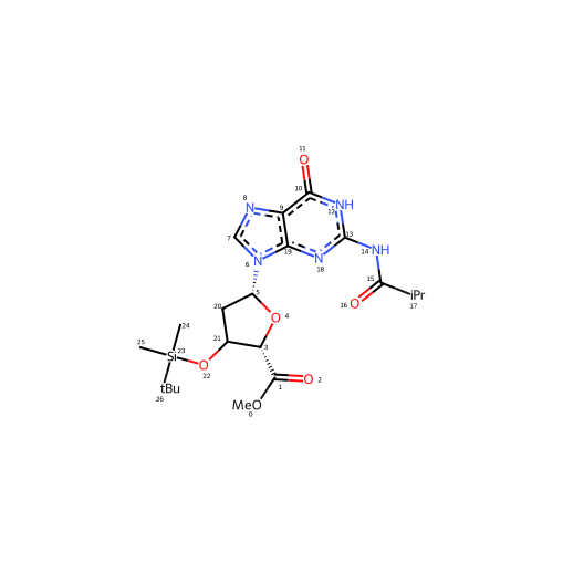 COC(=O)[C@H]1O[C@@H](n2cnc3c(=O)[nH]c(NC(=O)C(C)C)nc32)CC1O[Si](C)(C)C(C)(C)C